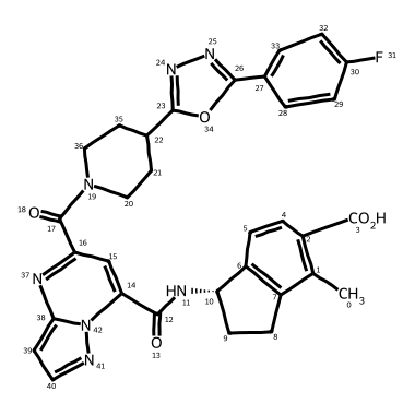 Cc1c(C(=O)O)ccc2c1CC[C@@H]2NC(=O)c1cc(C(=O)N2CCC(c3nnc(-c4ccc(F)cc4)o3)CC2)nc2ccnn12